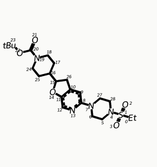 CCS(=O)(=O)N1CCN(c2cc3c(cn2)OC(C2CCN(C(=O)OC(C)(C)C)CC2)C3)CC1